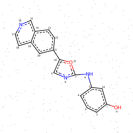 Oc1cccc(Nc2ncc(-c3ccc4cnccc4c3)o2)c1